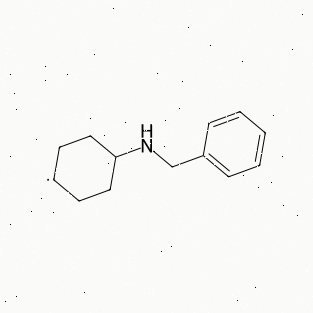 [CH]1CCC(NCc2ccccc2)CC1